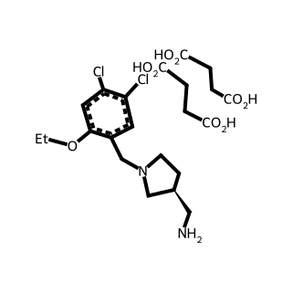 CCOc1cc(Cl)c(Cl)cc1CN1CC[C@@H](CN)C1.O=C(O)CCC(=O)O.O=C(O)CCC(=O)O